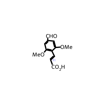 COc1cc(C=O)cc(OC)c1/C=C/C(=O)O